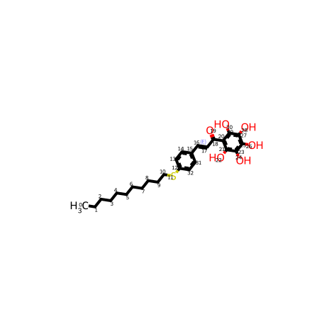 CCCCCCCCCCCSc1ccc(/C=C/C(=O)c2c(O)c(O)c(O)c(O)c2O)cc1